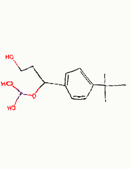 CC(C)(C)c1ccc(C(CCO)OP(O)O)cc1